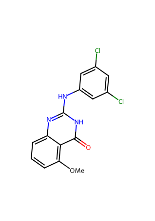 COc1cccc2nc(Nc3cc(Cl)cc(Cl)c3)[nH]c(=O)c12